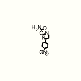 NC(=O)Oc1nccc(-c2ccc([N+](=O)[O-])cc2)n1